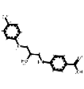 O=C(O)c1ccc(NCC(O)COc2ccc(Cl)cc2)cc1